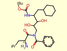 CC(C)C[C@H](N)C(=O)N(CC(O)C(O)C(CC1CCCCC1)NC(=O)OC(C)(C)C)C(=O)c1ccccc1